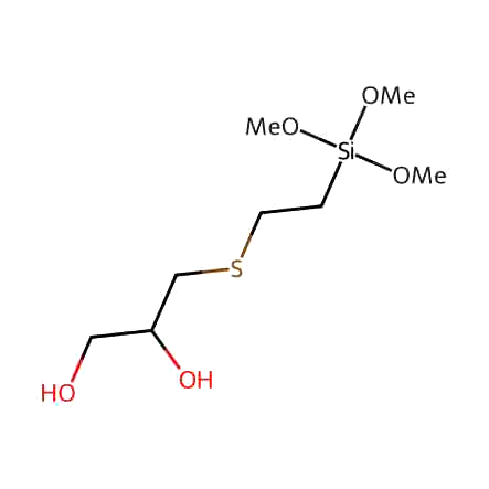 CO[Si](CCSCC(O)CO)(OC)OC